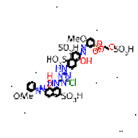 COc1ccccc1/N=N/c1ccc2cc(S(=O)(=O)O)cc(Nc3nc(Cl)nc(Nc4ccc5c(O)c(/N=N/c6cc(S(=O)(=O)OCCOS(=O)(=O)O)ccc6OC)c(S(=O)(=O)O)cc5c4S(=O)(=O)O)n3)c2c1O